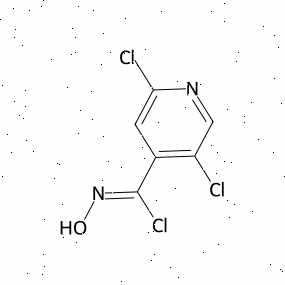 ON=C(Cl)c1cc(Cl)ncc1Cl